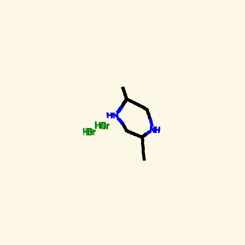 Br.Br.CC1CNC(C)CN1